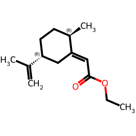 C=C(C)[C@@H]1CC[C@@H](C)C(=CC(=O)OCC)C1